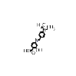 CCN(CC)c1ccc(/C=N/c2ccc(C(=O)O)c(O)c2)cc1